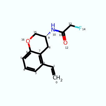 C=Cc1cccc2c1C[C@@H](NC(=O)CF)CO2